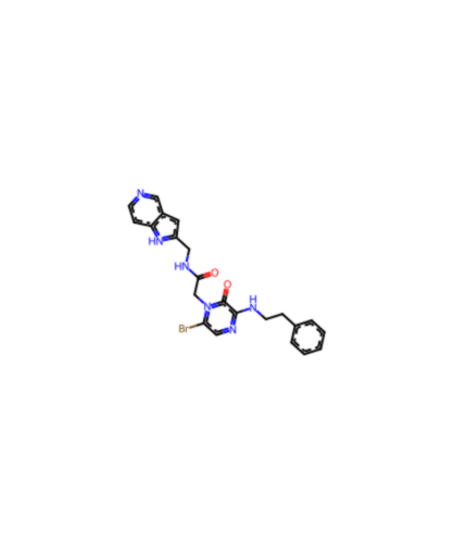 O=C(Cn1c(Br)cnc(NCCc2ccccc2)c1=O)NCc1cc2cnccc2[nH]1